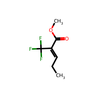 CCC=C(C(=O)OC)C(F)(F)F